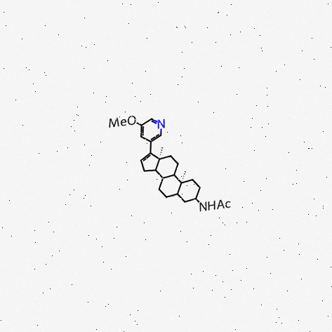 COc1cncc(C2=CCC3C4CCC5C[C@H](NC(C)=O)CC[C@]5(C)C4CC[C@]23C)c1